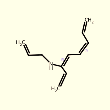 C=C/C=C\C=C(/C=C)NCC=C